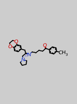 Cc1ccc(C(=O)CCCC/N=C(\Cc2ccc3c(c2)OCCO3)CN2CCCC2)cc1